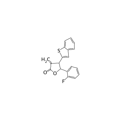 C=C1C(=O)OC(c2ccccc2F)C1c1cc2ccccc2s1